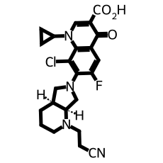 N#CCCN1CCC[C@H]2CN(c3c(F)cc4c(=O)c(C(=O)O)cn(C5CC5)c4c3Cl)C[C@H]21